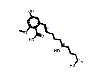 COc1cc(O)cc(/C=C/CCC[C@@H](O)CCC[C@H](C)O)c1C(=O)O